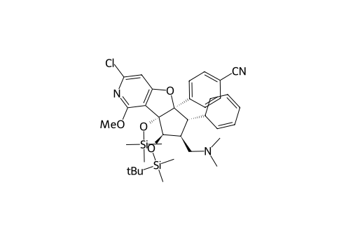 COc1nc(Cl)cc2c1[C@]1(O[Si](C)(C)C)[C@H](O[Si](C)(C)C(C)(C)C)[C@H](CN(C)C)[C@@H](C3C=CC=CC3)[C@]1(c1ccc(C#N)cc1)O2